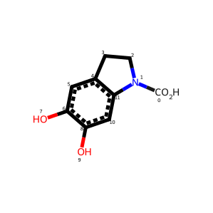 O=C(O)N1CCc2cc(O)c(O)cc21